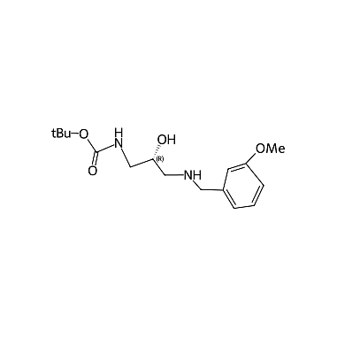 COc1cccc(CNC[C@@H](O)CNC(=O)OC(C)(C)C)c1